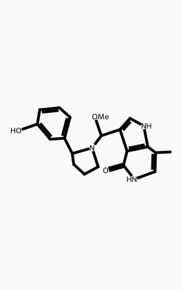 COC(c1c[nH]c2c(C)c[nH]c(=O)c12)N1CCCC1c1cccc(O)c1